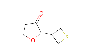 O=C1CCO[C]1C1CSC1